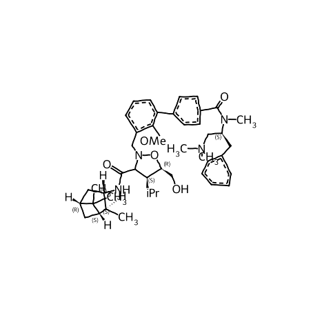 COc1c(CN2O[C@@H](CO)[C@@H](C(C)C)C2C(=O)N[C@H]2C[C@H]3C[C@@H]([C@@H]2C)C3(C)C)cccc1-c1ccc(C(=O)N(C)[C@@H](Cc2ccccc2)CN(C)C)cc1